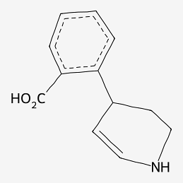 O=C(O)c1ccccc1C1C=CNCC1